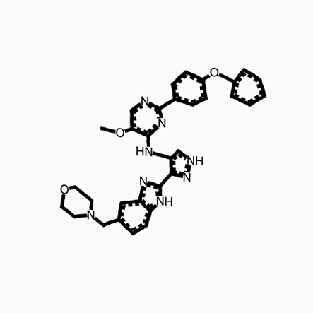 COc1cnc(-c2ccc(Oc3ccccc3)cc2)nc1Nc1c[nH]nc1-c1nc2cc(CN3CCOCC3)ccc2[nH]1